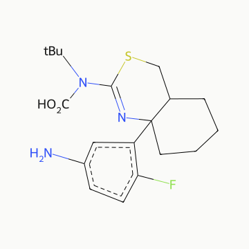 CC(C)(C)N(C(=O)O)C1=NC2(c3cc(N)ccc3F)CCCCC2CS1